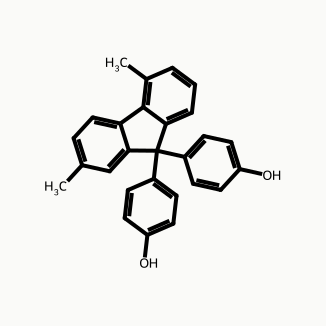 Cc1ccc2c(c1)C(c1ccc(O)cc1)(c1ccc(O)cc1)c1cccc(C)c1-2